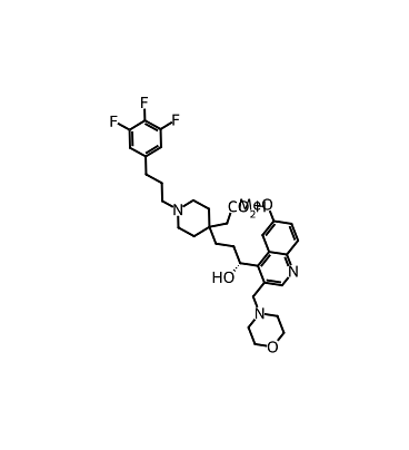 COc1ccc2ncc(CN3CCOCC3)c([C@H](O)CCC3(CC(=O)O)CCN(CCCc4cc(F)c(F)c(F)c4)CC3)c2c1